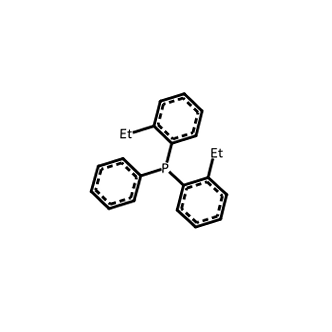 CCc1ccccc1P(c1ccccc1)c1ccccc1CC